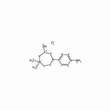 C[N+]1(C)CCN(c2ccc(N)cc2)CC(O)C1.[Cl-]